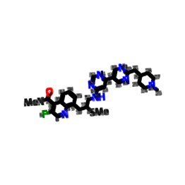 CNC(=O)c1c(F)cnc2c(CC(CNc3cc(-c4cnc(CC5CCN(C)CC5)nc4)ncn3)SC)cccc12